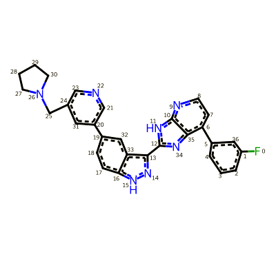 Fc1cccc(-c2ccnc3[nH]c(-c4n[nH]c5ccc(-c6cncc(CN7CCCC7)c6)cc45)nc23)c1